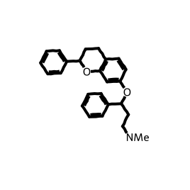 CNCCC(Oc1ccc2c(c1)OC(c1ccccc1)CC2)c1ccccc1